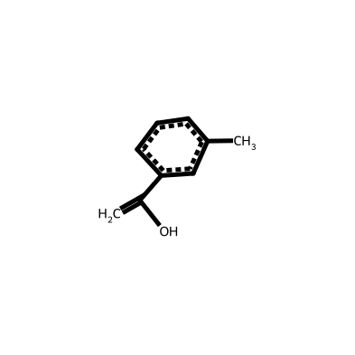 C=C(O)c1cccc(C)c1